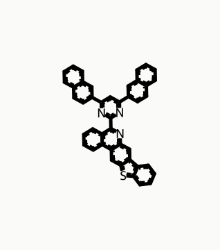 c1ccc2cc(-c3cc(-c4ccc5ccccc5c4)nc(-c4nc5cc6c(cc5c5ccccc45)sc4ccccc46)n3)ccc2c1